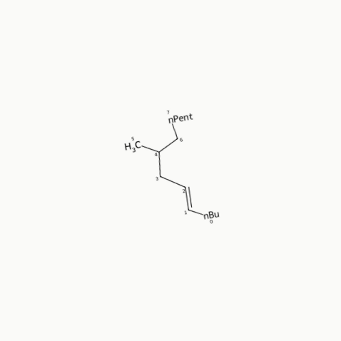 [CH2]CCCC=CCC(C)CCCCC[CH2]